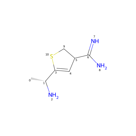 C[C@@H](N)C1=CC(C(=N)N)CS1